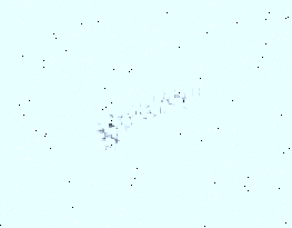 CN(C)C1CCN(c2ccc(NC(=O)c3ccc(NC(=O)C4(c5ccccc5)CC4)cc3)cc2)C1